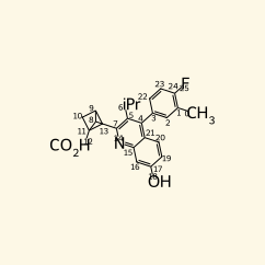 Cc1cc(-c2c(C(C)C)c(C3C4CC3(C(=O)O)C4)nc3cc(O)ccc23)ccc1F